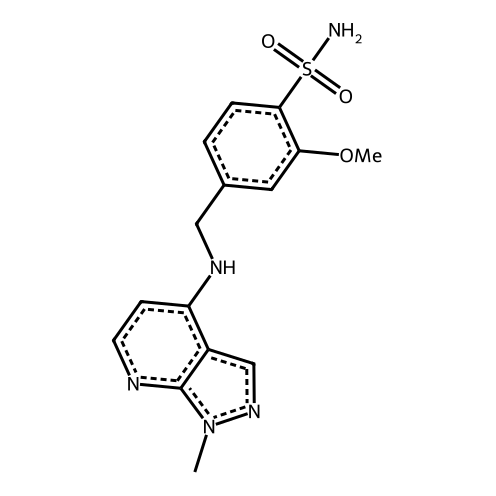 COc1cc(CNc2ccnc3c2cnn3C)ccc1S(N)(=O)=O